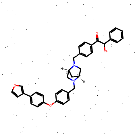 O=C(c1ccc(CN2C[C@@H]3C[C@H]2CN3Cc2ccc(Oc3ccc(-c4ccoc4)cc3)cc2)cc1)C(O)c1ccccc1